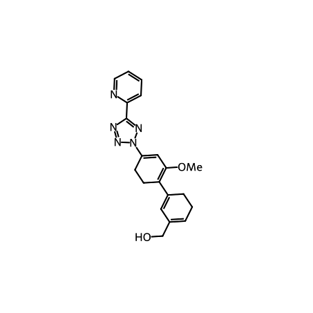 COC1=C(C2=CC(CO)=CCC2)CCC(n2nnc(-c3ccccn3)n2)=C1